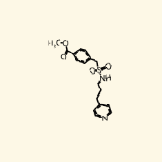 COC(=O)c1ccc(CS(=O)(=O)NCCCc2ccncc2)cc1